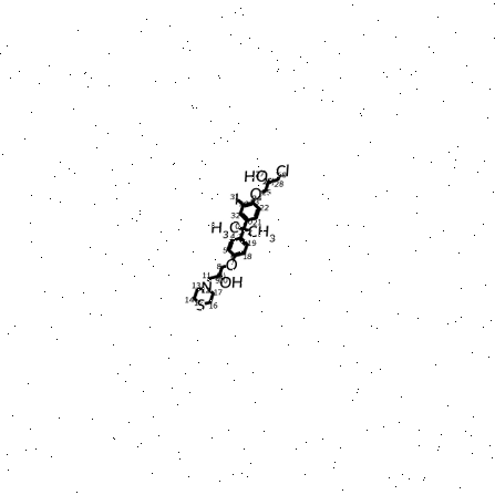 CC(C)(c1ccc(OC[C@H](O)CN2CCSCC2)cc1)c1ccc(OC[C@@H](O)CCl)c(I)c1